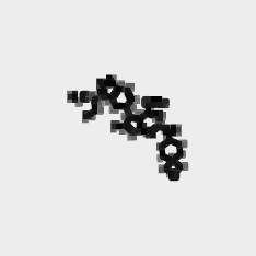 COc1nc(NC2CCC3(CC2)COC3)nn2cc(F)c(-c3ccc4nnn([C@@H](C)CF)c4c3)c12